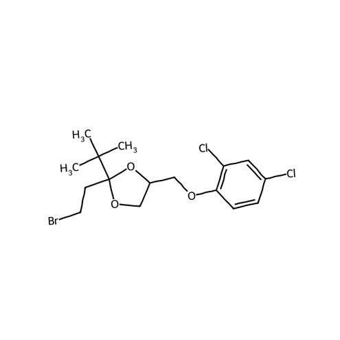 CC(C)(C)C1(CCBr)OCC(COc2ccc(Cl)cc2Cl)O1